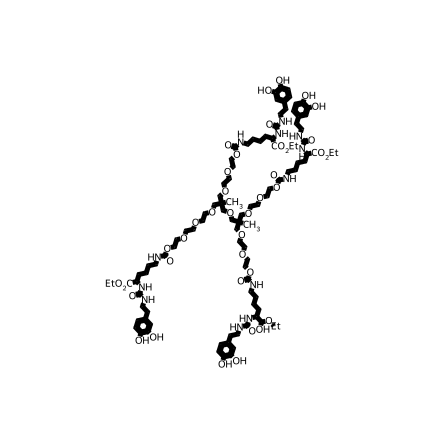 CCOC(=O)C(CCCCNC(=O)OCCOCCOCCOCC(C)(COCCOCCOC(=O)NCCCCC(NC(=O)NCCc1ccc(O)c(O)c1)C(=O)OCC)COCC(C)(COCCOCCOC(=O)NCCCCC(NC(=O)NCCc1ccc(O)c(O)c1)C(=O)OCC)COCCOCCOC(=O)NCCCCC(NC(=O)NCCc1ccc(O)c(O)c1)C(O)OCC)NC(=O)NCCc1ccc(O)c(O)c1